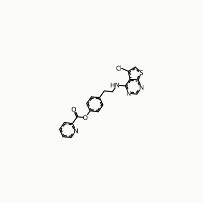 O=C(Oc1ccc(CCNc2ncnc3scc(Cl)c23)cc1)c1ccccn1